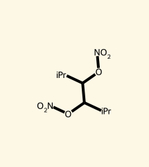 CC(C)C(O[N+](=O)[O-])C(O[N+](=O)[O-])C(C)C